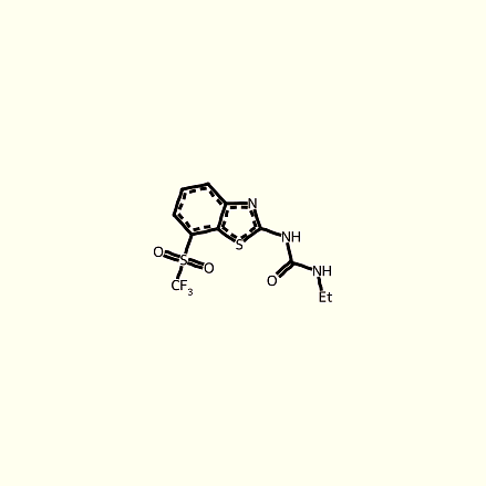 CCNC(=O)Nc1nc2cccc(S(=O)(=O)C(F)(F)F)c2s1